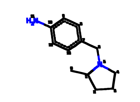 CC1CCCN1Cc1ccc(N)cc1